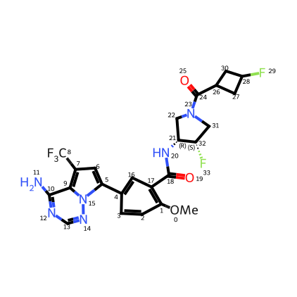 COc1ccc(-c2cc(C(F)(F)F)c3c(N)ncnn23)cc1C(=O)N[C@@H]1CN(C(=O)C2CC(F)C2)C[C@@H]1F